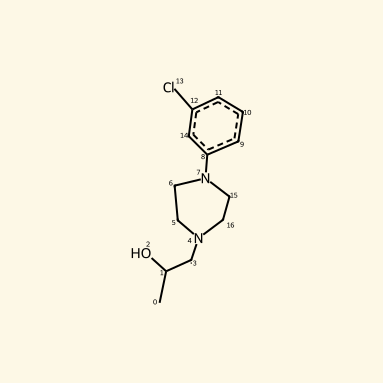 CC(O)[CH]N1CCN(c2cccc(Cl)c2)CC1